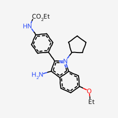 CCOC(=O)Nc1ccc(-c2c(N)c3ccc(OCC)cc3n2C2CCCC2)cc1